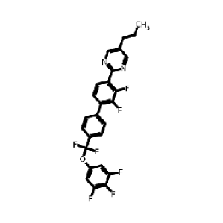 CCCc1cnc(-c2ccc(-c3ccc(C(F)(F)Oc4cc(F)c(F)c(F)c4)cc3)c(F)c2F)nc1